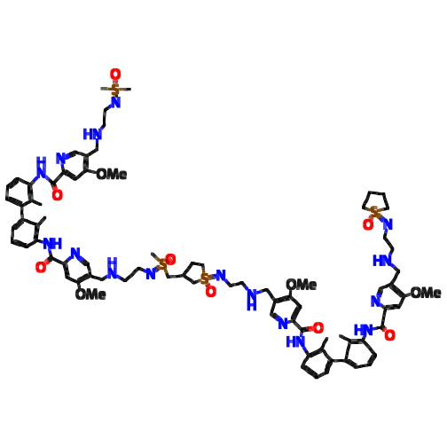 COc1cc(C(=O)Nc2cccc(-c3cccc(NC(=O)c4cc(OC)c(CNCCN=S(C)(=O)CC5CCS(=O)(=NCCNCc6cnc(C(=O)Nc7cccc(-c8cccc(NC(=O)c9cc(OC)c(CNCCN=S%10(=O)CCCC%10)cn9)c8C)c7C)cc6OC)C5)cn4)c3C)c2C)ncc1CNCCN=S(C)(C)=O